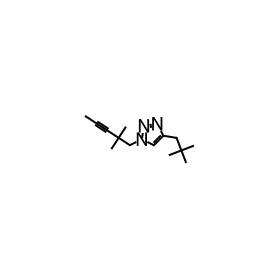 CC#CC(C)(C)Cn1cc(CC(C)(C)C)nn1